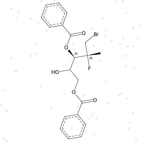 C[C@](F)(CBr)[C@H](OC(=O)c1ccccc1)C(O)COC(=O)c1ccccc1